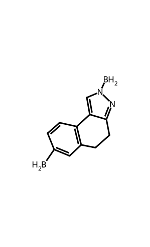 Bc1ccc2c(c1)CCc1nn(B)cc1-2